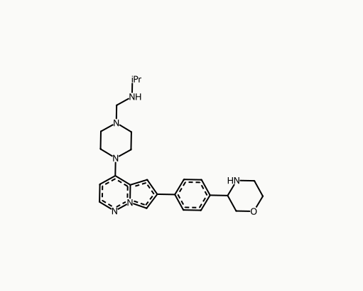 CC(C)NCN1CCN(c2ccnn3cc(-c4ccc(C5COCCN5)cc4)cc23)CC1